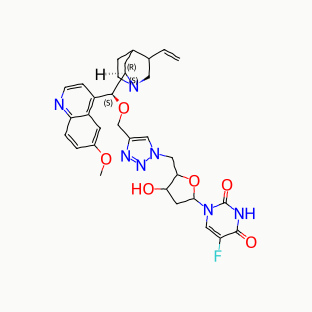 C=CC1C[N@@]2CCC1C[C@@H]2[C@@H](OCc1cn(CC2OC(n3cc(F)c(=O)[nH]c3=O)CC2O)nn1)c1ccnc2ccc(OC)cc12